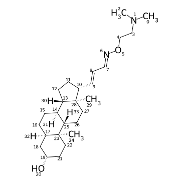 CN(C)CCO/N=C/C=C/[C@H]1CC[C@H]2[C@@H]3CC[C@@H]4C[C@@H](O)CC[C@]4(C)[C@H]3CC[C@]12C